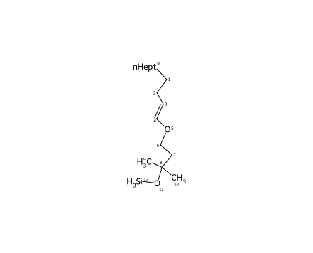 CCCCCCCCCC=COCCC(C)(C)O[SiH3]